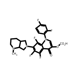 CN1CCCC2CN(c3c(F)c(F)c4c(=O)c(OC(=O)O)cn(-c5ccc(F)cc5F)c4c3F)CC21